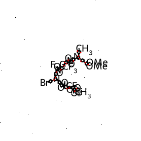 COc1ccc(-c2ccc(-c3cc(-c4ccc(C)cc4)nc(-c4ccc(N5C(=O)c6ccc(C(c7ccc8c(c7)C(=O)N(Cc7ccc(-c9cc(-c%10ccc(Br)cc%10)cc(-c%10ccc(N%11C(=O)c%12ccc(C(c%13ccc%14c(c%13)C(=O)N(C)C%14=O)(C(F)(F)F)C(F)(F)F)cc%12C%11=O)cc%10)n9)cc7)C8=O)(C(F)(F)F)C(F)(F)F)cc6C5=O)cc4)c3)cc2)cc1OC